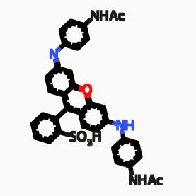 CC(=O)Nc1ccc(N=c2ccc3c(-c4ccccc4S(=O)(=O)O)c4ccc(Nc5ccc(NC(C)=O)cc5)cc4oc-3c2)cc1